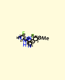 COc1ccc(-c2nnc(N[C@@H]3C[C@@H](F)CN(C)C3)c3cnccc23)c(F)c1